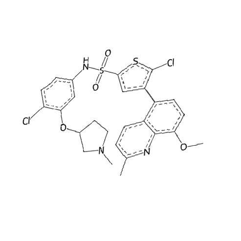 COc1ccc(-c2cc(S(=O)(=O)Nc3ccc(Cl)c(OC4CCN(C)C4)c3)sc2Cl)c2ccc(C)nc12